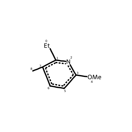 CCc1nc(OC)ccc1C